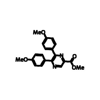 COC(=O)c1cnc(-c2ccc(OC)cc2)c(-c2ccc(OC)cc2)n1